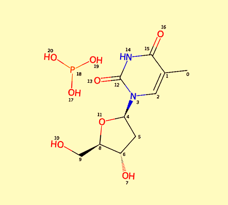 Cc1cn([C@H]2C[C@H](O)[C@@H](CO)O2)c(=O)[nH]c1=O.OP(O)O